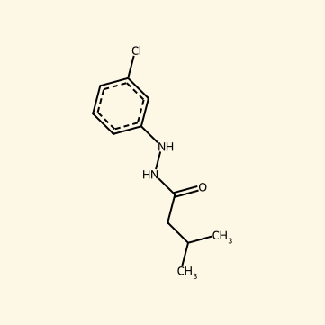 CC(C)CC(=O)NNc1cccc(Cl)c1